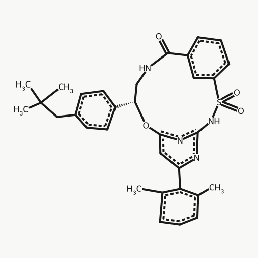 Cc1cccc(C)c1-c1cc2nc(n1)NS(=O)(=O)c1cccc(c1)C(=O)NC[C@@H](c1ccc(CC(C)(C)C)cc1)O2